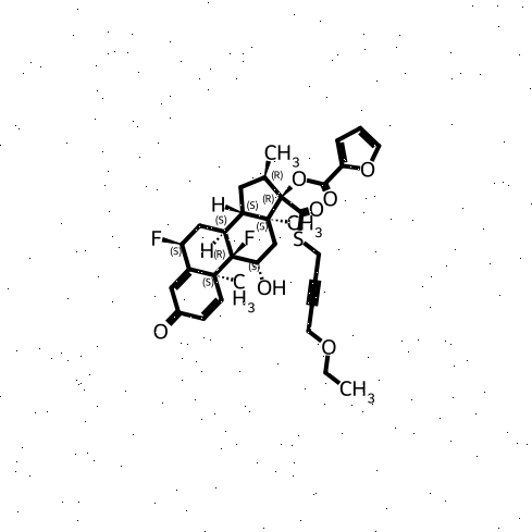 CCOCC#CCSC(=O)[C@@]1(OC(=O)c2ccco2)[C@H](C)C[C@H]2[C@@H]3C[C@H](F)C4=CC(=O)C=C[C@]4(C)[C@@]3(F)[C@@H](O)C[C@@]21C